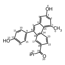 Cc1cc(O)cc2cc(-c3ccc(O)cc3)c3cc(C(=O)C(C)C)ccc3c12